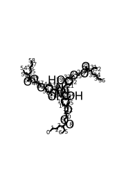 CCCCC(CC)C(=O)OCCOc1ccc(-c2nc(-c3ccc(OCCOC(=O)C(CC)CCCC)cc3O)nc(-c3ccc(OCCOC(=O)C(CC)CCCC)cc3O)n2)c(O)c1